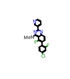 CNc1nc(-c2cccnc2)nc2ccc(-c3ccc(Cl)cc3F)c(F)c12